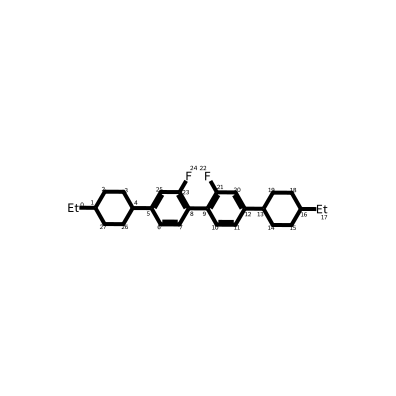 CCC1CCC(c2ccc(-c3ccc(C4CCC(CC)CC4)cc3F)c(F)c2)CC1